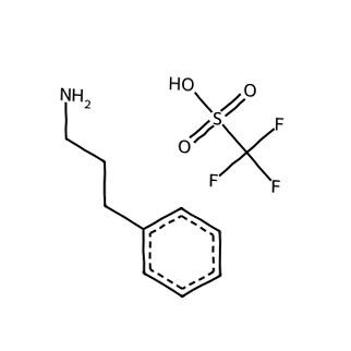 NCCCc1ccccc1.O=S(=O)(O)C(F)(F)F